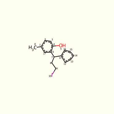 Cc1ccc(O)c(C(CCI)c2ccccc2)c1